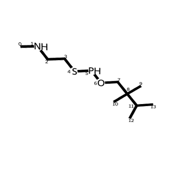 CNCCSPOCC(C)(C)C(C)C